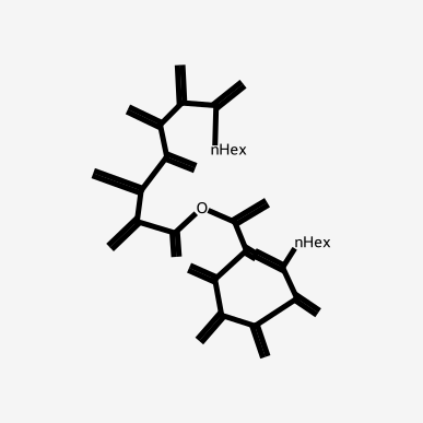 C=C(CCCCCC)C(=C)C(=C)C(=C)C(=C)C(=C)C(=C)OC(=C)C(=C)C(=C)C(=C)C(=C)C(=C)C(=C)CCCCCC